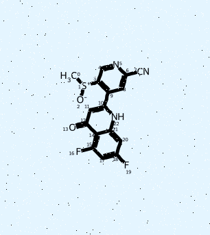 C[S+]([O-])c1cnc(C#N)cc1-c1cc(=O)c2c(F)cc(F)cc2[nH]1